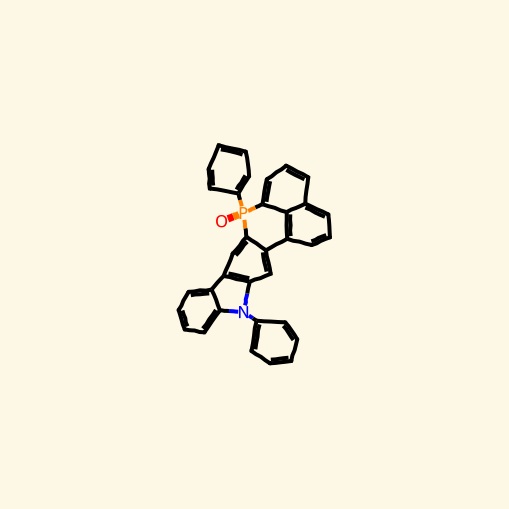 O=P1(c2ccccc2)c2cc3c4ccccc4n(-c4ccccc4)c3cc2-c2cccc3cccc1c23